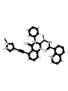 C[C@@H](NC(=O)c1cccc2cccnc12)c1nc2cccc(C#Cc3cnn(C)c3)c2c(=O)n1-c1ccccc1